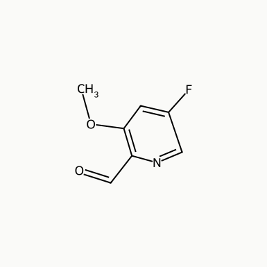 COc1cc(F)cnc1C=O